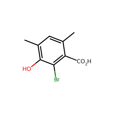 Cc1cc(C)c(C(=O)O)c(Br)c1O